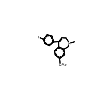 COc1ccc2c(c1)CN(C)CC=C2c1ccc(F)cc1